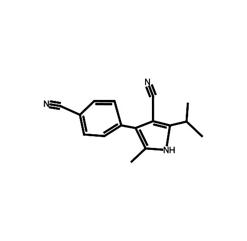 Cc1[nH]c(C(C)C)c(C#N)c1-c1ccc(C#N)cc1